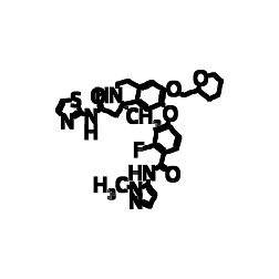 Cn1nccc1NC(=O)c1ccc(Oc2cc3c(cc2OCC2CCCCO2)CCN[C@]3(C)CC(=O)Nc2nccs2)cc1F